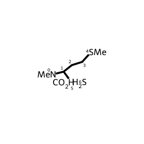 CNC(CCSC)C(=O)O.S